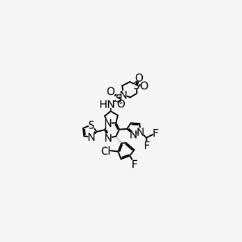 O=S1(=O)CCN(S(=O)(=O)N[C@H]2CC3=C(c4ccn(C(F)F)n4)[C@H](c4ccc(F)cc4Cl)N=C(c4nccs4)N3C2)CC1